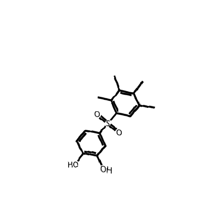 Cc1cc(S(=O)(=O)c2ccc(O)c(O)c2)c(C)c(C)c1C